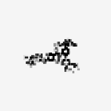 CCC[CH2][Sn]([CH2]CCC)([CH2]CCC)[c]1ccc(N2CCN(C)C(C)C2)c(NC(=O)c2cnc(OCC[Si](C)(C)C)cc2C(F)(F)F)c1